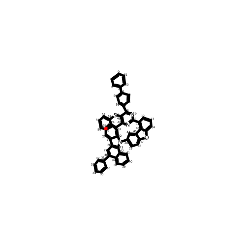 c1ccc(-c2ccc(-c3nc(-c4cccc5oc6ccc(-n7c8ccccc8c8cc(-c9ccccc9)c9ccccc9c87)cc6c45)nc4c3Sc3ccccc3C4)cc2)cc1